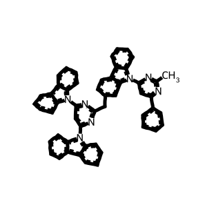 Cc1nc(-c2ccccc2)cc(-n2c3ccccc3c3ccc(Cc4nc(-n5c6ccccc6c6ccccc65)cc(-n5c6ccccc6c6ccccc65)n4)cc32)n1